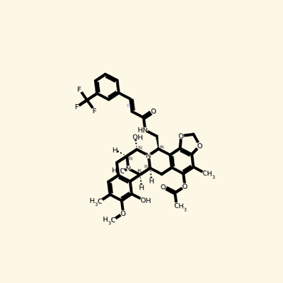 COc1c(C)cc2c(c1O)[C@@H]1[C@@H]3Cc4c(OC(C)=O)c(C)c5c(c4[C@H](CNC(=O)/C=C/c4cccc(C(F)(F)F)c4)N3[C@@H](O)[C@H](C2)N1C)OCO5